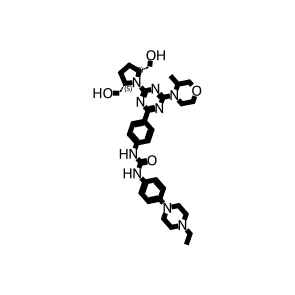 CCN1CCN(c2ccc(NC(=O)Nc3ccc(-c4nc(N5CCOCC5C)nc(N5[C@H](CO)CC[C@@H]5CO)n4)cc3)cc2)CC1